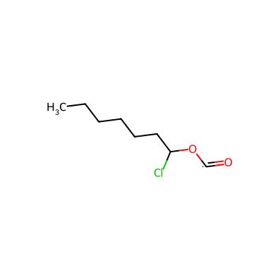 CCCCCCC(Cl)O[C]=O